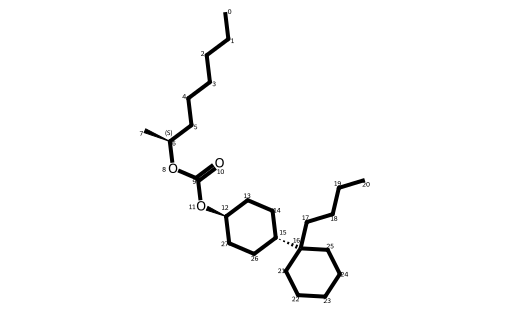 CCCCCC[C@H](C)OC(=O)O[C@H]1CC[C@H](C2(CCCC)CCCCC2)CC1